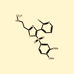 COc1ccc(S(=O)(=O)c2sc(CCNC(=O)O)nc2-c2cccnc2F)cc1OC